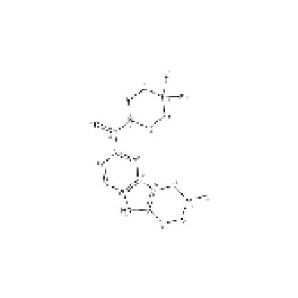 CN1CCc2[nH]c3ccc(C(=O)N4CCC(F)(F)CC4)cc3c2C1